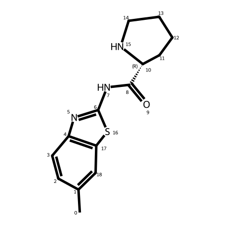 Cc1ccc2nc(NC(=O)[C@H]3CCCCN3)sc2c1